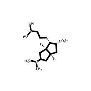 CN(C)C1C[C@@H]2C[C@@H](C(=O)O)[C@@H](CCCB(O)O)[C@@H]2C1